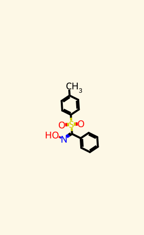 Cc1ccc(S(=O)(=O)C(=NO)c2ccccc2)cc1